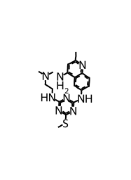 CSc1nc(NCCN(C)C)nc(Nc2ccc3nc(C)cc(N)c3c2)n1